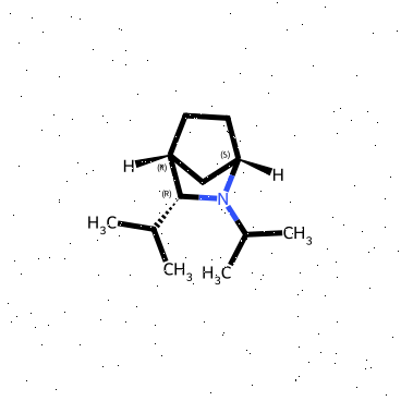 CC(C)[C@@H]1[C@@H]2CC[C@@H](C2)N1C(C)C